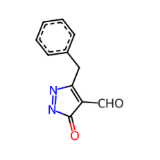 O=CC1=C(Cc2ccccc2)N=NC1=O